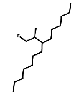 CCCCCCCC(CCCCCC)[C@H](C)CF